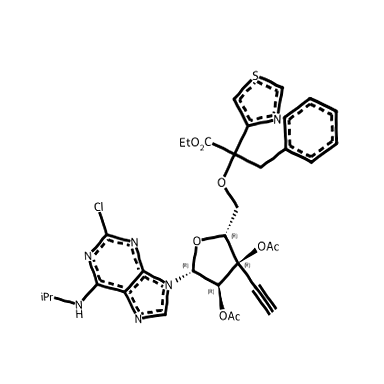 C#C[C@@]1(OC(C)=O)[C@@H](COC(Cc2ccccc2)(C(=O)OCC)c2cscn2)O[C@@H](n2cnc3c(NC(C)C)nc(Cl)nc32)[C@@H]1OC(C)=O